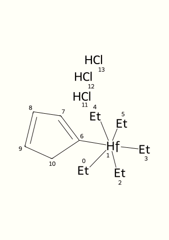 C[CH2][Hf]([CH2]C)([CH2]C)([CH2]C)([CH2]C)[C]1=CC=CC1.Cl.Cl.Cl